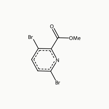 COC(=O)c1nc(Br)ccc1Br